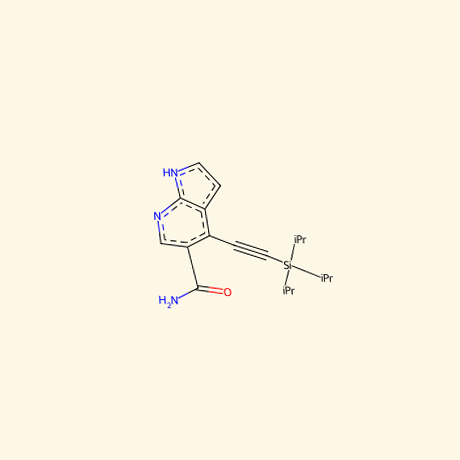 CC(C)[Si](C#Cc1c(C(N)=O)cnc2[nH]ccc12)(C(C)C)C(C)C